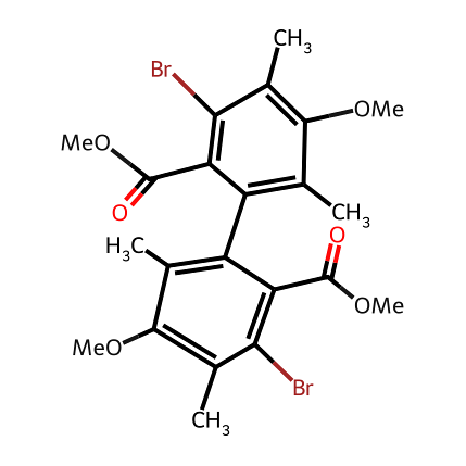 COC(=O)c1c(Br)c(C)c(OC)c(C)c1-c1c(C)c(OC)c(C)c(Br)c1C(=O)OC